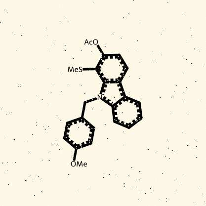 COc1ccc(Cn2c3ccccc3c3ccc(OC(C)=O)c(SC)c32)cc1